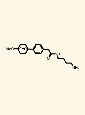 COC12CCC(c3ccc(CC(=O)N[CH]CCCN)cc3)(CC1)CC2